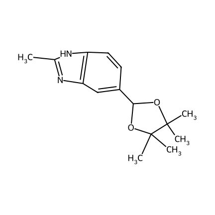 Cc1nc2cc(C3OC(C)(C)C(C)(C)O3)ccc2[nH]1